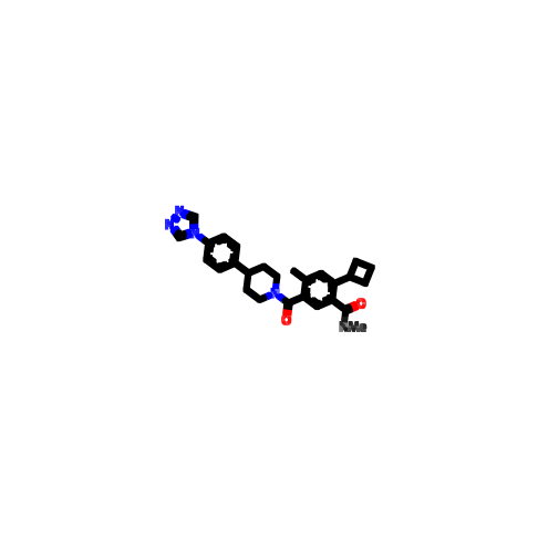 CNC(=O)c1cc(C(=O)N2CCC(c3ccc(-n4cnnc4)cc3)CC2)c(C)cc1C1CCC1